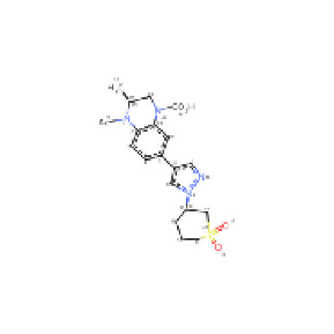 CC(=O)N1c2ccc(-c3cnn([C@@H]4CCCS(=O)(=O)C4)c3)cc2N(C(=O)O)C[C@@H]1C